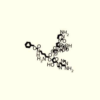 Nc1ccn([C@H]2C[C@H](OP(=O)(O)OC[C@@H]3O[C@@H](n4cnc5c(N)ncnc54)[C@H](O)[C@@H]3OC(=O)C(N)CCCNC(=O)OCc3ccccc3)[C@@H](COP(=O)(O)O)O2)c(=O)n1